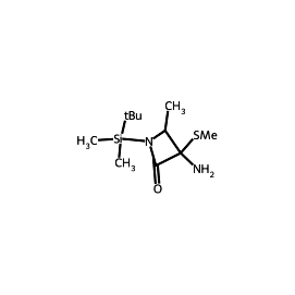 CSC1(N)C(=O)N([Si](C)(C)C(C)(C)C)C1C